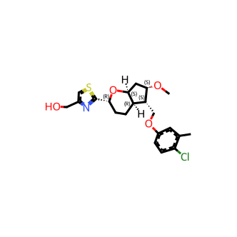 CO[C@H]1C[C@@H]2O[C@@H](c3nc(CO)cs3)CC[C@@H]2[C@H]1COc1ccc(Cl)c(C)c1